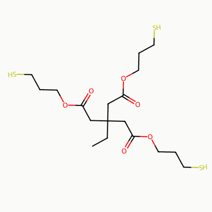 CCC(CC(=O)OCCCS)(CC(=O)OCCCS)CC(=O)OCCCS